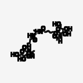 CC(=O)NC1[C@H](OCCCCC(=O)NCC(C)CNC(=O)CCCCO[C@@H]2OC(CO)[C@H](O)[C@H](O)C2NC(C)=O)OC(CO)[C@H](O)[C@@H]1O